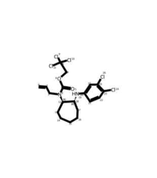 C=CCN(C(=O)OCC(Cl)(Cl)Cl)[C@@H]1CCCCC[C@H]1Nc1ccc(Cl)c(Cl)c1